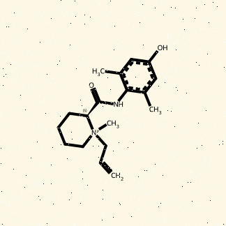 C=CC[N+]1(C)CCCC[C@H]1C(=O)Nc1c(C)cc(O)cc1C